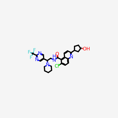 O=C(NCC(c1cnc(C(F)(F)F)nc1)N1CCCCC1)c1c(Cl)ccc2nc(C3CC[C@@H](O)C3)ccc12